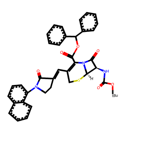 CC(C)(C)OC(=O)N[C@@H]1C(=O)N2C(C(=O)OC(c3ccccc3)c3ccccc3)=C(/C=C3\CCN(c4cccc5ccccc45)C3=O)CS[C@H]12